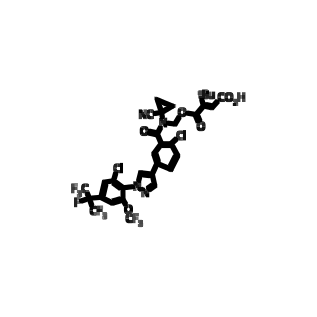 CC(C)(C)/C(=C\C(=O)O)C(=O)OCN(C(=O)c1cc(-c2cnn(-c3c(Cl)cc(C(F)(C(F)(F)F)C(F)(F)F)cc3OC(F)(F)F)c2)ccc1Cl)C1(C#N)CC1